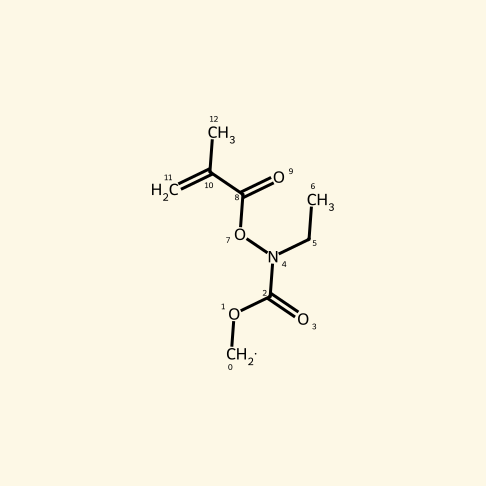 [CH2]OC(=O)N(CC)OC(=O)C(=C)C